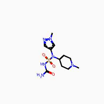 CN1CCC(N(c2cnn(C)c2)S(=O)(=O)NC(N)=O)CC1